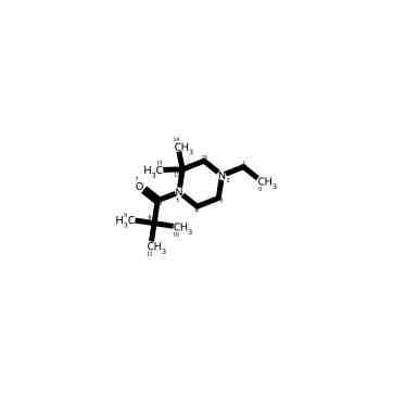 CCN1CCN(C(=O)C(C)(C)C)C(C)(C)C1